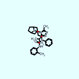 Cc1ccccc1NC(=O)N(CCCN1C2CCC1CC(n1c(C)nnc1C(C)C)C2)c1ccccc1